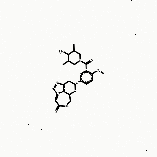 COc1ccc(C2CC3=C4C(=CC(=O)NCC4C2)C=N3)cc1C(=O)N1CC(C)C(N)C(C)C1